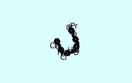 CC(C)Oc1ccc(OCc2ccc(CN3CCN(C(=O)/C=C/c4ccc(Oc5ccc(OCc6ccccc6Cl)cn5)c(Cl)c4)CC3)cc2)cc1.Cl